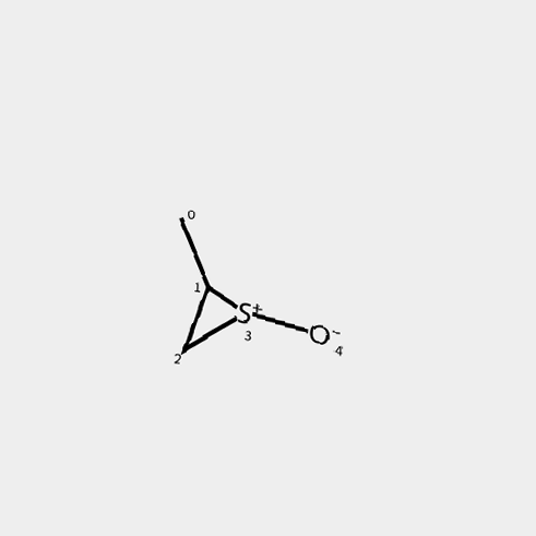 CC1C[S+]1[O-]